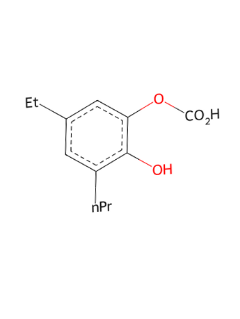 CCCc1cc(CC)cc(OC(=O)O)c1O